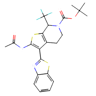 CC(=O)Nc1sc2c(c1-c1nc3ccccc3s1)CCN(C(=O)OC(C)(C)C)C2C(F)(F)F